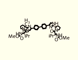 COC(=O)N[C@H](C(=O)N1CCC[C@H]1c1nc(-c2ccc(-c3ccc(-c4c[nH]c([C@]5(C)CCCN5C(=O)[C@@H](NC(=O)OC)C(C)C)n4)cc3)cc2)c[nH]1)C(C)C